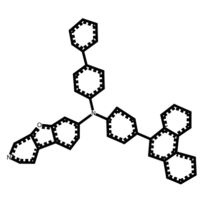 c1ccc(-c2ccc(N(c3ccc(-c4cc5ccccc5c5ccccc45)cc3)c3ccc4c(c3)oc3cnccc34)cc2)cc1